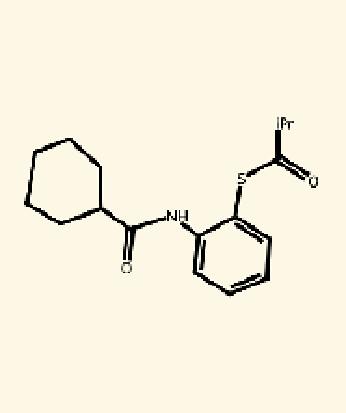 CC(C)C(=O)Sc1ccccc1NC(=O)C1CCCCC1